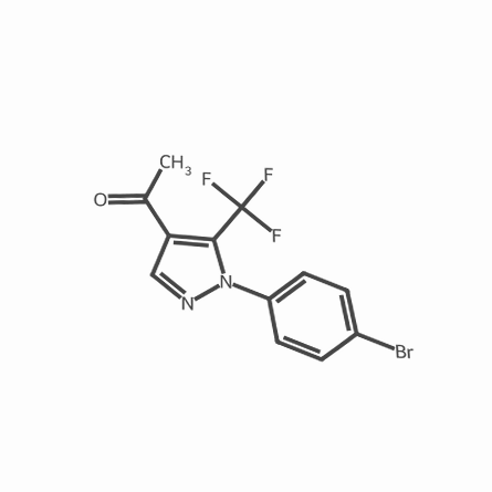 CC(=O)c1cnn(-c2ccc(Br)cc2)c1C(F)(F)F